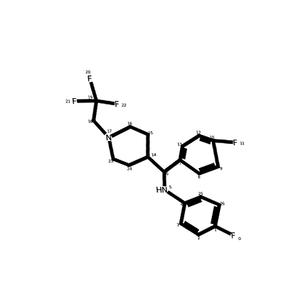 Fc1ccc(NC(c2ccc(F)cc2)C2CCN(CC(F)(F)F)CC2)cc1